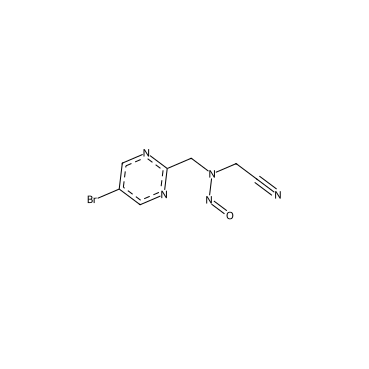 N#CCN(Cc1ncc(Br)cn1)N=O